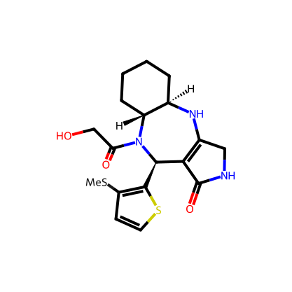 CSc1ccsc1[C@@H]1C2=C(CNC2=O)N[C@@H]2CCCC[C@H]2N1C(=O)CO